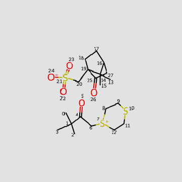 CC(C)(C)C(=O)C[S+]1CCSCC1.CC1(C)C2CCC1(CS(=O)(=O)[O-])C(=O)C2